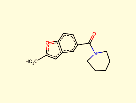 O=C(O)c1cc2cc(C(=O)N3CCCCC3)ccc2o1